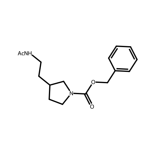 CC(=O)NCCC1CCN(C(=O)OCc2ccccc2)C1